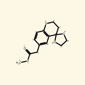 COC(=O)Cc1ccc2c(c1)C1(CCO2)OCCO1